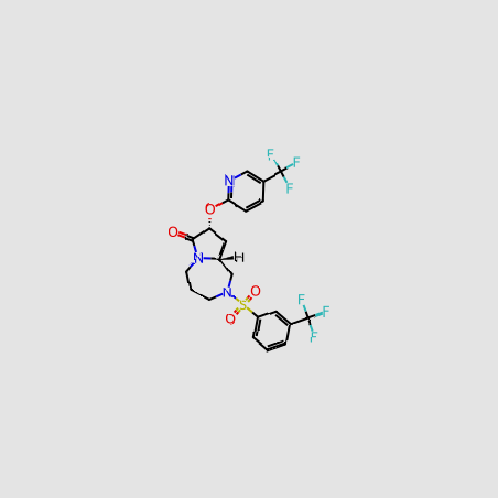 O=C1[C@H](Oc2ccc(C(F)(F)F)cn2)C[C@@H]2CN(S(=O)(=O)c3cccc(C(F)(F)F)c3)CCCN12